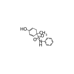 CC1(S(=O)(=O)Nc2ccccc2)C=CC(O)=CC1